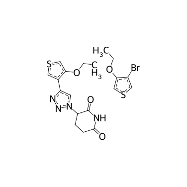 CCOc1cscc1-c1cn(C2CCC(=O)NC2=O)nn1.CCOc1cscc1Br